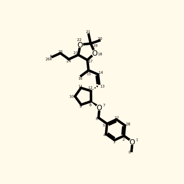 COc1ccc(CO[C@H]2CCC[C@@H]2/C=C\C(C)C2OC(C)(C)OC2CCI)cc1